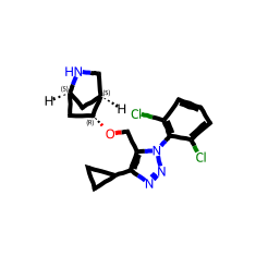 Clc1cccc(Cl)c1-n1nnc(C2CC2)c1CO[C@@H]1C[C@@H]2C[C@H]1CN2